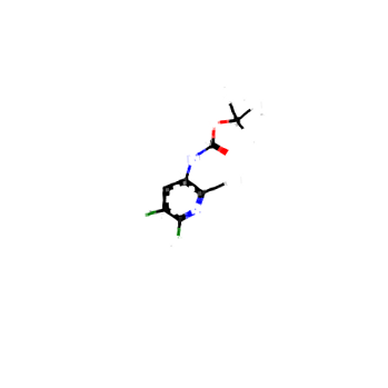 Cc1nc(Cl)c(Cl)cc1NC(=O)OC(C)(C)C